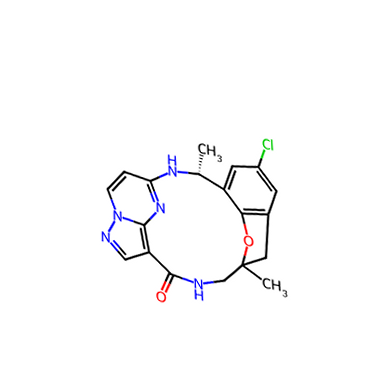 C[C@H]1Nc2ccn3ncc(c3n2)C(=O)NCC2(C)Cc3cc(Cl)cc1c3O2